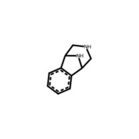 c1ccc2c(c1)C1CNCC2N1